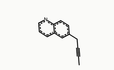 CC#CCc1ccc2ncccc2c1